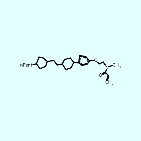 C=CC(=O)N(C)CCOc1ccc(C2CCC(CCC3CCC(CCCCC)CC3)CC2)cc1